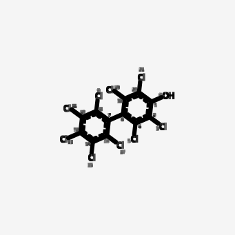 Oc1c(Cl)c(Cl)c(-c2c(Cl)c(Cl)c(Cl)c(Cl)c2Cl)c(Cl)c1Cl